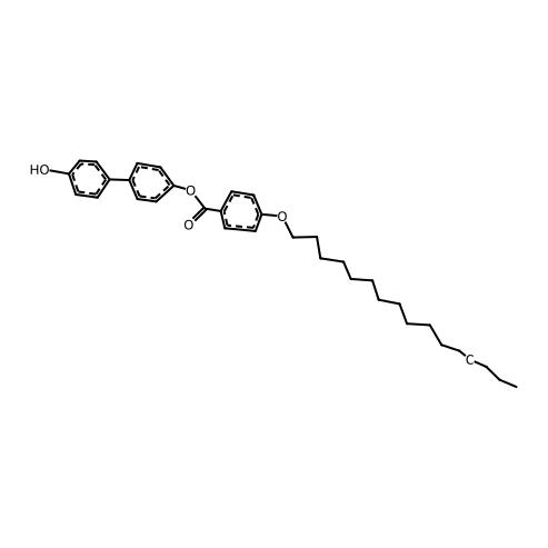 CCCCCCCCCCCCCCCCOc1ccc(C(=O)Oc2ccc(-c3ccc(O)cc3)cc2)cc1